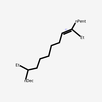 [CH2]CCCCCCCCCC(CC)CCCCC/C=C(\CC)CCCC[CH2]